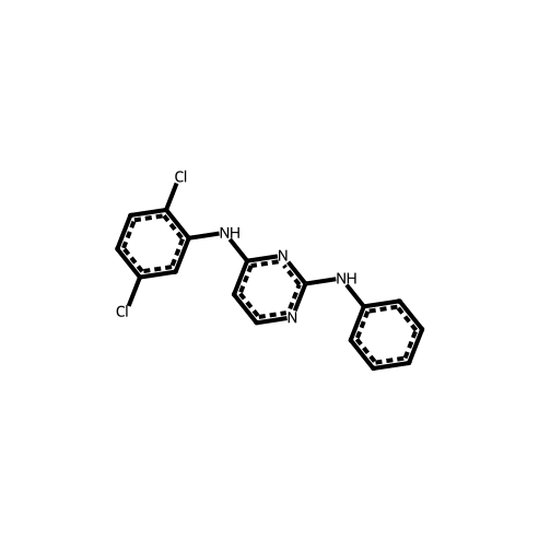 Clc1ccc(Cl)c(Nc2ccnc(Nc3ccccc3)n2)c1